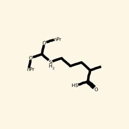 CCCOC(OCCC)[SiH2]CCCC(C)C(=O)S